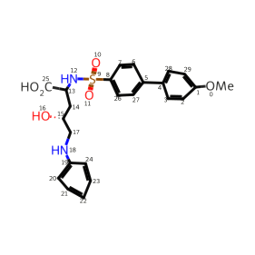 COc1ccc(-c2ccc(S(=O)(=O)NC(C[C@@H](O)CNc3ccccc3)C(=O)O)cc2)cc1